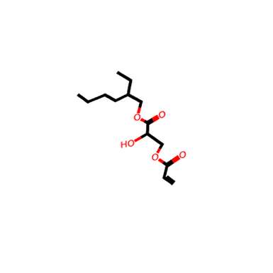 C=CC(=O)OCC(O)C(=O)OCC(CC)CCCC